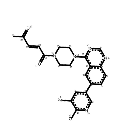 [2H]c1cc(-c2ccc3ncnc(N4CCN(C(=O)C=CC(C)=O)CC4)c3c2)cnc1Cl